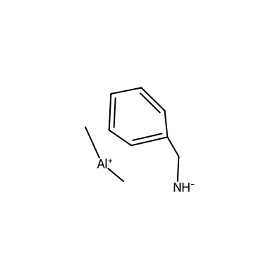 [CH3][Al+][CH3].[NH-]Cc1ccccc1